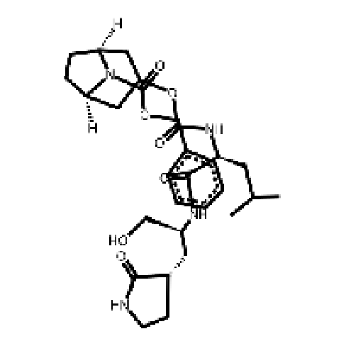 CC(C)C[C@H](NC(=O)OC1C[C@H]2CC[C@@H](C1)N2C(=O)OCc1ccccc1)C(=O)N[C@H](CO)C[C@@H]1CCNC1=O